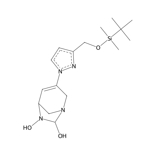 CC(C)(C)[Si](C)(C)OCc1ccn(C2=CC3CN(C2)C(O)N3O)n1